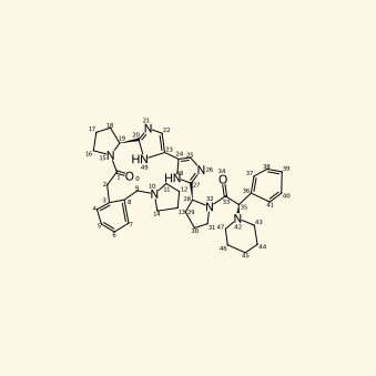 O=C(Cc1ccccc1CN1CCCC1)N1CCC[C@H]1c1ncc(-c2cnc([C@@H]3CCCN3C(=O)[C@@H](c3ccccc3)N3CCCCC3)[nH]2)[nH]1